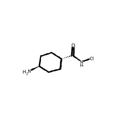 N[C@H]1CC[C@H](C(=O)NCl)CC1